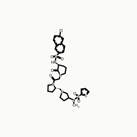 CN(C1CCN(C[C@@H]2CCCN2C(=O)CN2CCC[C@H](NS(=O)(=O)c3ccc4cc(Cl)ccc4c3)C2=O)C1)S(=O)(=O)c1cccs1